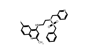 Cc1cc(NCCN(Cc2cccnc2)S(=O)(=O)Cc2ccccc2)c2cc(I)ccc2n1